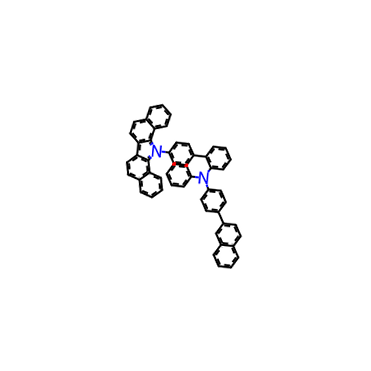 c1ccc(N(c2ccc(-c3ccc4ccccc4c3)cc2)c2ccccc2-c2ccc(-n3c4c5ccccc5ccc4c4ccc5ccccc5c43)cc2)cc1